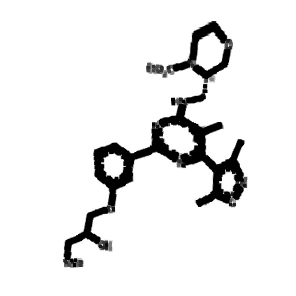 CCOC(=O)N1CCOC[C@@H]1CNc1nc(-c2cccc(OCC(O)CNC)c2)nc(-c2c(C)noc2C)c1C